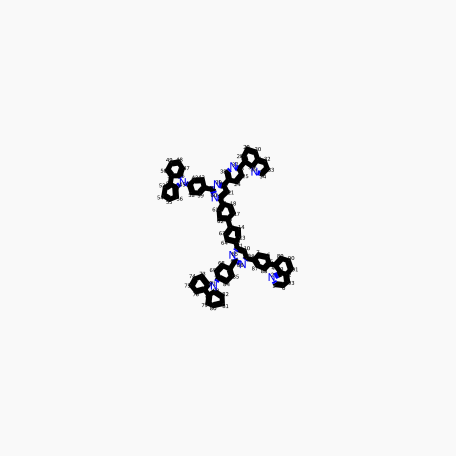 c1cnc2c(-c3ccc(-c4cc(-c5ccc(-c6ccc(-c7cc(-c8ccc(-c9cccc%10cccnc9%10)nc8)nc(-c8ccc(-n9c%10ccccc%10c%10ccccc%109)cc8)n7)cc6)cc5)nc(-c5ccc(-n6c7ccccc7c7ccccc76)cc5)n4)cc3)cccc2c1